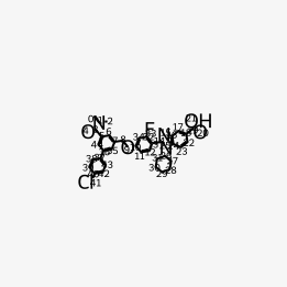 CN(C)C(=O)c1cc(COc2ccc(-c3nc4cc(C(=O)O)ccc4n3C3CCCCC3)c(F)c2)cc(-c2ccc(Cl)cc2)c1